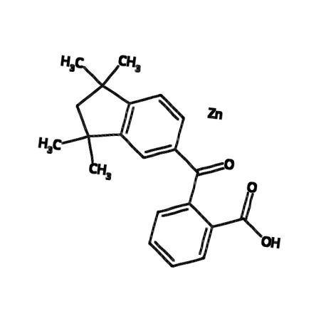 CC1(C)CC(C)(C)c2cc(C(=O)c3ccccc3C(=O)O)ccc21.[Zn]